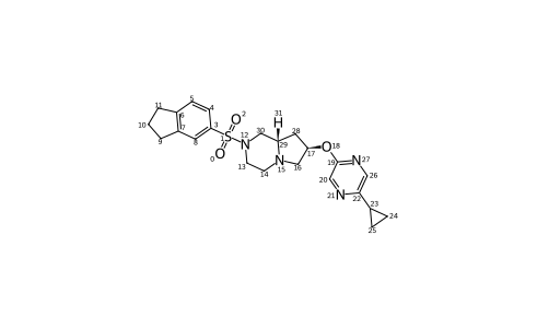 O=S(=O)(c1ccc2c(c1)CCC2)N1CCN2C[C@H](Oc3cnc(C4CC4)cn3)C[C@H]2C1